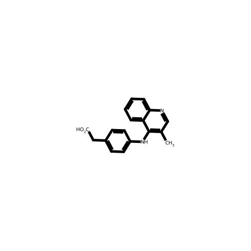 Cc1cnc2ccccc2c1Nc1ccc(CC(=O)O)cc1